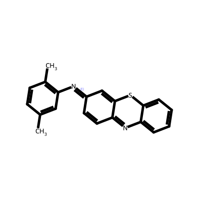 Cc1ccc(C)c(/N=c2\ccc3nc4ccccc4sc-3c2)c1